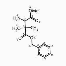 COC(=O)C(N)C(C)(C)C(=O)OCc1ccccc1